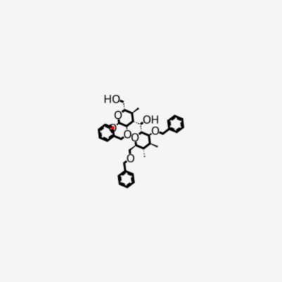 CO[C@H]1O[C@H](CO)[C@@H](C)[C@H](C(O)[C@H]2O[C@H](COCc3ccccc3)[C@@H](C)[C@H](C)[C@@H]2OCc2ccccc2)[C@@H]1OCc1ccccc1